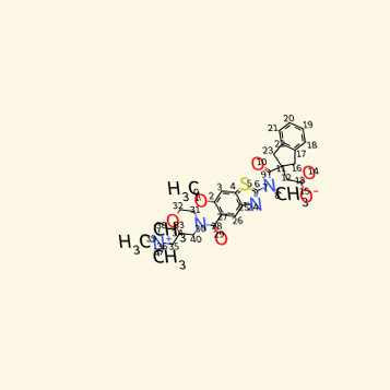 COc1cc2sc(N(C)C(=O)C3(CC(=O)[O-])Cc4ccccc4C3)nc2cc1C(=O)N1CCOC(C[N+](C)(C)C)C1